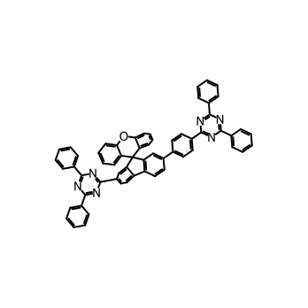 c1ccc(-c2nc(-c3ccccc3)nc(-c3ccc(-c4ccc5c(c4)C4(c6ccccc6Oc6ccccc64)c4cc(-c6nc(-c7ccccc7)nc(-c7ccccc7)n6)ccc4-5)cc3)n2)cc1